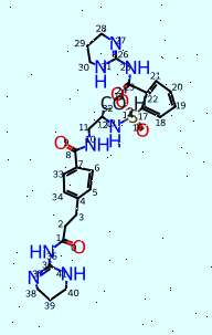 O=C(CCc1ccc(C(=O)NC[C@H](NS(=O)(=O)c2ccccc2C(=O)NC2=NCCCN2)C(=O)O)cc1)NC1=NCCCN1